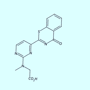 CN(CC(=O)O)c1nccc(-c2nc(=O)c3ccccc3s2)n1